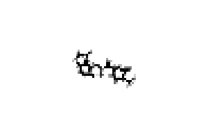 CCc1ccc2ncn(C)c2c1CNC(=O)c1ccc(C(F)F)c(F)c1